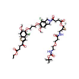 CCOC(=O)CCC(=O)c1cc2c(F)c(OCCCOc3c(OC)cc4c(c3F)CN(C(=O)CCC(=O)O[C@@]3(C)SC3CNC(=O)CCOCCNC(=O)OC(C)(C)C)C4)c(OC)cc2s1